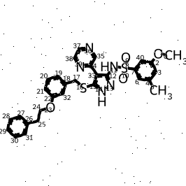 COc1cc(C)cc(S(=O)(=O)Nc2n[nH]c(SCc3cccc(OCCc4ccccc4)c3)c2-c2cnccn2)c1